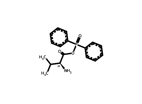 CC(C)[C@H](N)C(=O)OP(=O)(c1ccccc1)c1ccccc1